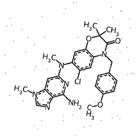 COc1ccc(CN2C(=O)C(C)(C)Oc3cc(N(C)c4cc5c(ncn5C)c(N)n4)c(Cl)cc32)cc1